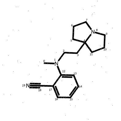 CN(CCC12CCCN1CCC2)c1ccccc1C#N